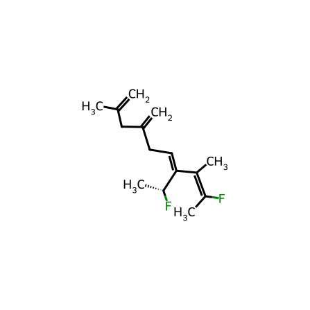 C=C(C)CC(=C)C/C=C(/C(C)=C(\C)F)[C@@H](C)F